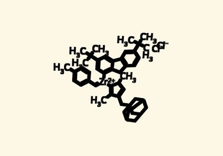 CC1=[C](/[Zr+2](=[CH]/c2ccc(C)cc2)[c]2cc(C(C)(C)C)cc3c2Cc2ccc(C(C)(C)C)cc2-3)C(C)C=C1CC12CC3CC(CC(C3)C1)C2.[Cl-].[Cl-]